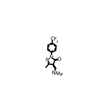 CNC=C1C(=O)N(c2ccc(C(F)(F)F)cc2)N=C1C